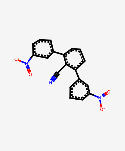 N#Cc1c(-c2cccc([N+](=O)[O-])c2)cccc1-c1cccc([N+](=O)[O-])c1